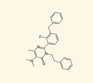 Cc1nc(-c2cccc(Cc3ccccc3)c2F)n(CCc2ccccc2)c(=O)c1N(C)C